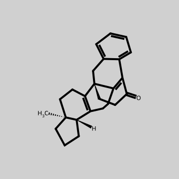 C[C@@]12CCC[C@H]1C1=C(CC2)[C@@]23CCC(=O)C(=C2CC1)c1ccccc1C3